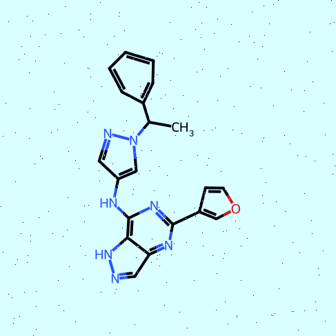 CC(c1ccccc1)n1cc(Nc2nc(-c3ccoc3)nc3cn[nH]c23)cn1